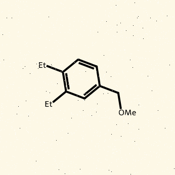 CCc1ccc(COC)cc1CC